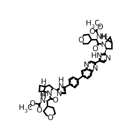 COC(=O)N[C@H](C(=O)N1[C@@H]2CC2C[C@H]1c1ncc(-c2cnc3cc(-c4ccc(-c5cnc([C@@H]6C[C@H]7CC[C@H]7N6C(=O)[C@@H](NC(=O)OC)C6CCOCC6)[nH]5)cc4)ccc3n2)[nH]1)C1CCOCC1